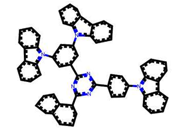 c1ccc2c(-c3nc(-c4ccc(-n5c6ccccc6c6ccccc65)cc4)nc(-c4cc(-n5c6ccccc6c6ccccc65)cc(-n5c6ccccc6c6ccccc65)c4)n3)cccc2c1